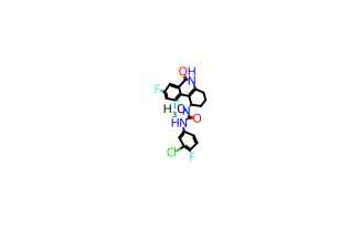 CN(C(=O)Nc1ccc(F)c(Cl)c1)[C@@H]1CCCc2[nH]c(=O)c3cc(F)cc(F)c3c21